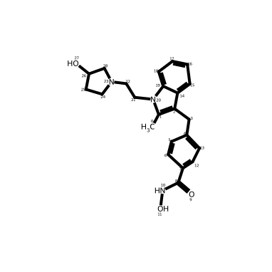 Cc1c(Cc2ccc(C(=O)NO)cc2)c2ccccc2n1CCN1CCC(O)C1